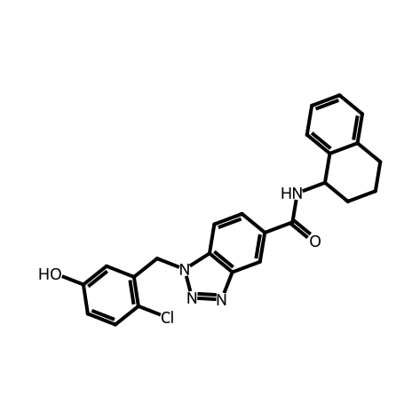 O=C(NC1CCCc2ccccc21)c1ccc2c(c1)nnn2Cc1cc(O)ccc1Cl